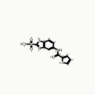 NS(=O)(=O)c1nc2cc(NC(=O)c3cccs3)ccc2s1